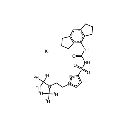 [2H]C([2H])([2H])N(CCn1ccc(S(=O)(=O)NC(=O)Nc2c3c(cc4c2CCC4)CCC3)n1)C([2H])([2H])[2H].[K]